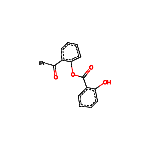 CC(C)C(=O)c1ccccc1OC(=O)c1ccccc1O